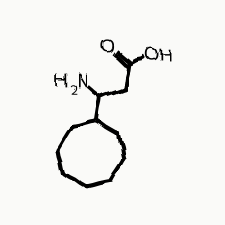 NC(CC(=O)O)C1CCCCCCC1